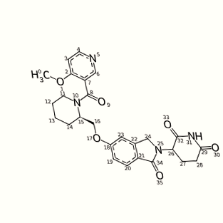 COc1ccncc1C(=O)N1CCCC[C@@H]1COc1ccc2c(c1)CN(C1CCC(=O)NC1=O)C2=O